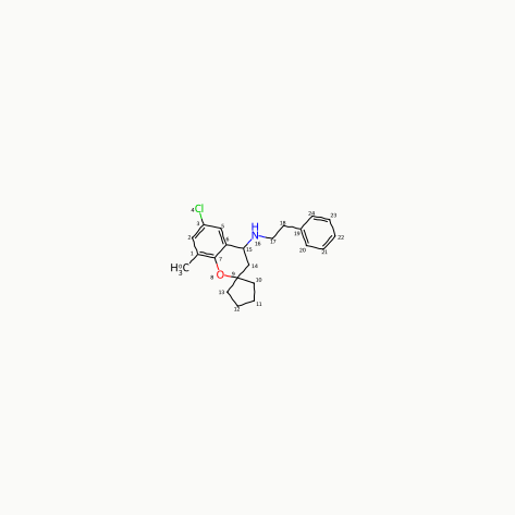 Cc1cc(Cl)cc2c1OC1(CCCC1)CC2NCCc1ccccc1